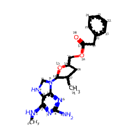 CNc1nc(N)nc2c1NCN2C1OC(COC(=O)Cc2ccccc2)CC1C